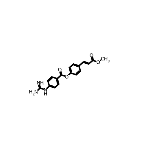 COC(=O)C=Cc1ccc(OC(=O)c2ccc(NC(=N)N)cc2)cc1